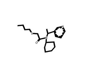 CCCCSCC(=O)N(C1CCCCC1)C(C)c1cccnc1